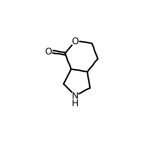 O=C1OCCC2CNCC12